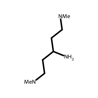 CNCCC(N)CCNC